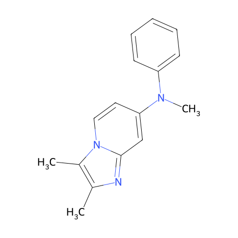 Cc1nc2cc(N(C)c3ccccc3)ccn2c1C